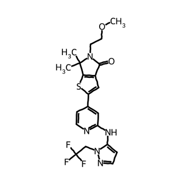 COCCN1C(=O)c2cc(-c3ccnc(Nc4ccnn4CC(F)(F)F)c3)sc2C1(C)C